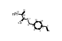 C=Cc1ccc(CSC(=S)C(=C)CCC)cc1